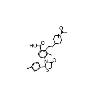 CC(=O)N1CCC(CCc2c(C(=O)O)ccc(N3C(=O)CSC3c3ccc(F)cc3)c2C)CC1